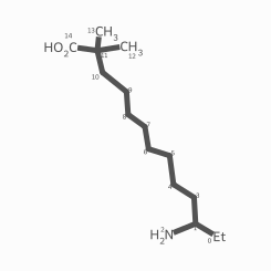 CCC(N)CCCCCCCCC(C)(C)C(=O)O